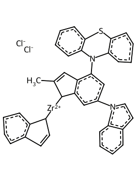 CC1=Cc2c(cc(-n3ccc4ccccc43)cc2N2c3ccccc3Sc3ccccc32)[CH]1[Zr+2][CH]1C=Cc2ccccc21.[Cl-].[Cl-]